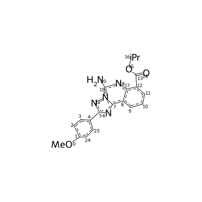 COc1ccc(-c2nc3c4cccc(C(=O)OC(C)C)c4nc(N)n3n2)cc1